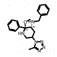 CO[C@]1(c2ccccc2)NCC(n2nnnc2C)C[C@H]1NCc1ccccc1